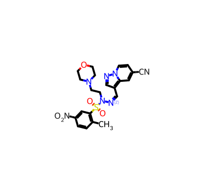 Cc1ccc([N+](=O)[O-])cc1S(=O)(=O)N(CCN1CCOCC1)/N=C\c1cnn2ccc(C#N)cc12